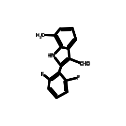 Cc1cccc2c(C=O)c(-c3c(F)cccc3F)[nH]c12